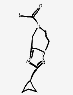 O=C(I)N1CCn2nc(C3CC3)nc2C1